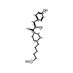 CCOC(=O)CCCCCN1CCN(C(=O)/C(C#N)=C/c2ccc(O)cc2)CC1